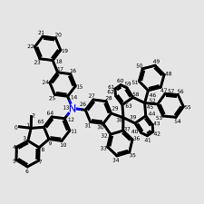 CC1(C)c2ccccc2-c2ccc(N(c3ccc(-c4ccccc4)cc3)c3ccc4c(c3)-c3ccccc3C43c4ccccc4C(c4ccccc4)(c4ccccc4)c4ccccc43)cc21